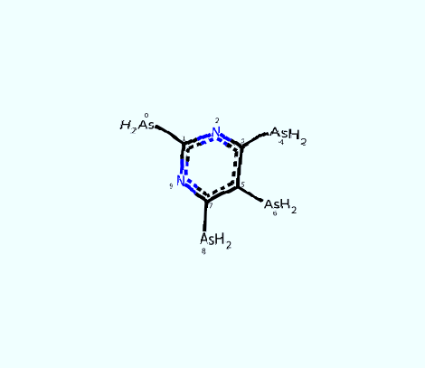 [AsH2]c1nc([AsH2])c([AsH2])c([AsH2])n1